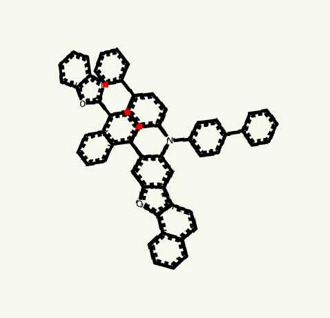 c1ccc(-c2ccc(N(c3ccc(-c4ccccc4)cc3)c3cc4c(cc3-c3ccc(-c5nc6ccccc6o5)c5ccccc35)oc3c5ccccc5ccc43)cc2)cc1